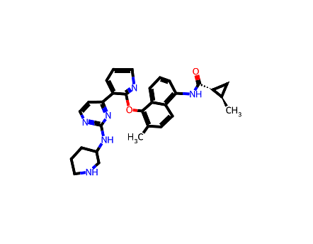 Cc1ccc2c(NC(=O)[C@@H]3C[C@H]3C)cccc2c1Oc1ncccc1-c1ccnc(NC2CCCNC2)n1